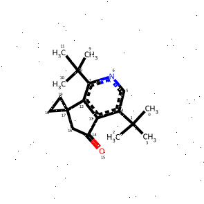 CC(C)(C)c1cnc(C(C)(C)C)c2c1C(=O)CC21CC1